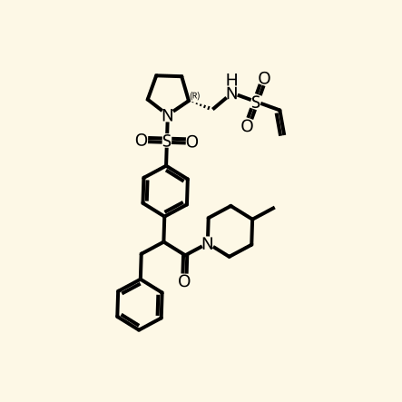 C=CS(=O)(=O)NC[C@H]1CCCN1S(=O)(=O)c1ccc(C(Cc2ccccc2)C(=O)N2CCC(C)CC2)cc1